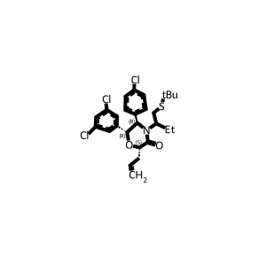 C=CC[C@@H]1O[C@H](c2cc(Cl)cc(Cl)c2)[C@@H](c2ccc(Cl)cc2)N(C(CC)CSC(C)(C)C)C1=O